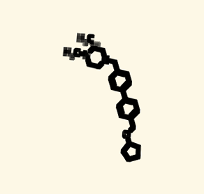 C[C@@H]1CN(Cc2ccc(-c3ccc(COC4CCCC4)cc3)cc2)CCN1C